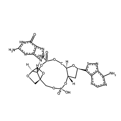 Nc1nc2c(ncn2[C@@H]2O[C@@]34CO[C@@H]2[C@@H]3OP(=O)(O)OC[C@H]2O[C@@H](c3snc5c(N)ncnc35)C[C@@H]2OP(=O)(O)OC4)c(=O)[nH]1